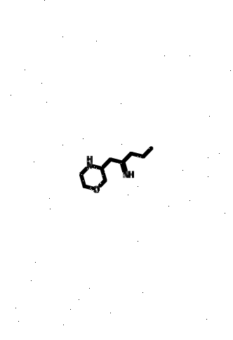 CCCC(=N)CC1COCCN1